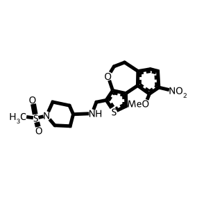 COc1c([N+](=O)[O-])ccc2c1-c1csc(CNC3CCN(S(C)(=O)=O)CC3)c1OCC2